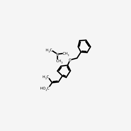 CC(=Cc1ccc(OCc2ccccc2)cc1)C(=O)O.CN(C)C